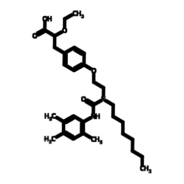 CCCCCCCCN(CCOc1ccc(CC(OCC)C(=O)O)cc1)C(=O)Nc1cc(C)c(C)cc1C